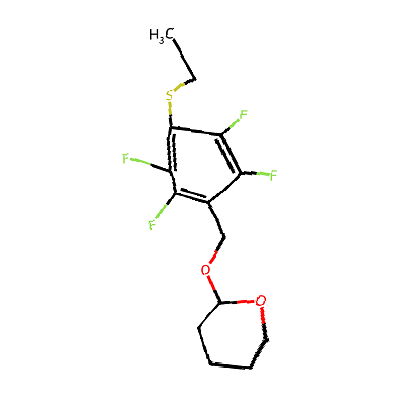 CCSc1c(F)c(F)c(COC2CCCCO2)c(F)c1F